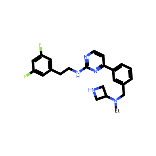 CCN(Cc1cccc(-c2ccnc(NCCc3cc(F)cc(F)c3)n2)c1)C1CNC1